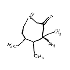 CC1CNC(=O)C(C)(S)C1C